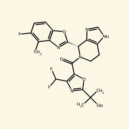 Cc1c(F)ccc2oc([C@@H]3c4nc[nH]c4CCN3C(=O)c3oc(C(C)(C)O)nc3C(F)F)nc12